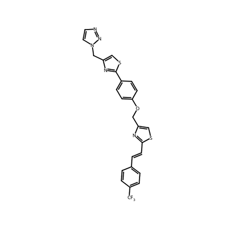 FC(F)(F)c1ccc(/C=C/c2nc(COc3ccc(-c4nc(Cn5ccnn5)cs4)cc3)cs2)cc1